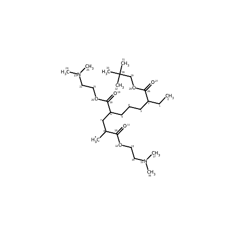 CCC(CCCC(CC(C)C(=O)OCCN(C)C)C(=O)OCCN(C)C)C(=O)OCC(C)(C)C